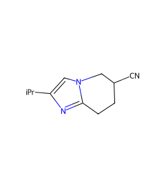 CC(C)c1cn2c(n1)CCC(C#N)C2